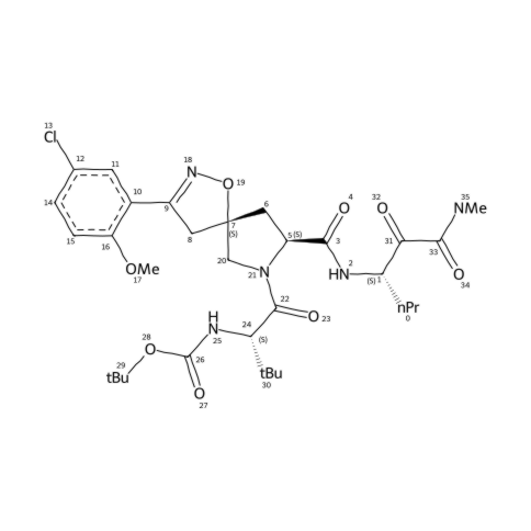 CCC[C@H](NC(=O)[C@@H]1C[C@]2(CC(c3cc(Cl)ccc3OC)=NO2)CN1C(=O)[C@@H](NC(=O)OC(C)(C)C)C(C)(C)C)C(=O)C(=O)NC